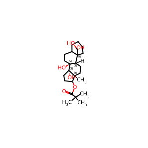 CC(C)(C)C(=O)OC1CC[C@]2(O)[C@]1(C)CC[C@H]1[C@@]3(C(O)O)CCCCC3CC[C@]12O